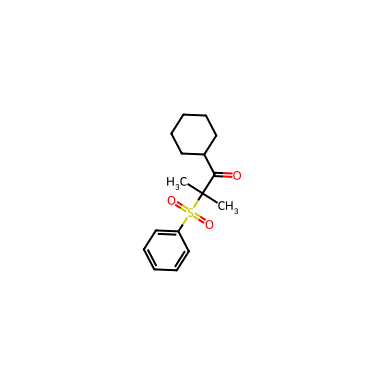 CC(C)(C(=O)C1CCCCC1)S(=O)(=O)c1ccccc1